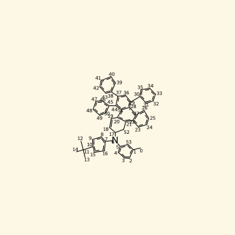 Cc1cccc(N(c2ccc(C(C)(C)C)cc2)C2C=Cc3c(c4ccccc4c4c(-c5ccccc5)cc(-c5ccccc5)c(-c5ccccc5)c34)C2)c1